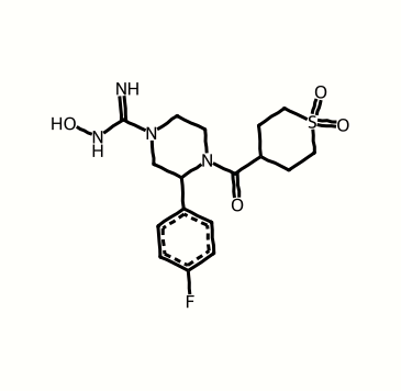 N=C(NO)N1CCN(C(=O)C2CCS(=O)(=O)CC2)C(c2ccc(F)cc2)C1